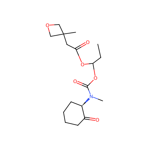 CCC(OC(=O)CC1(C)COC1)OC(=O)N(C)[C@@H]1CCCCC1=O